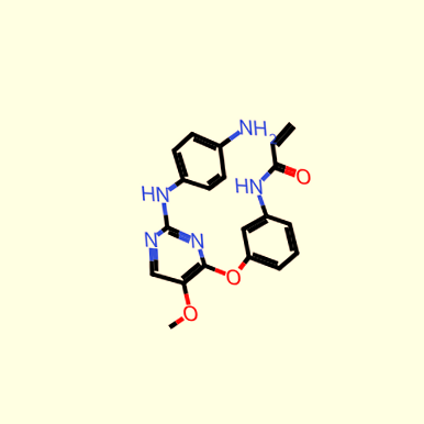 C=CC(=O)Nc1cccc(Oc2nc(Nc3ccc(N)cc3)ncc2OC)c1